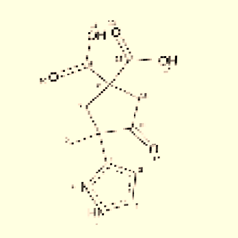 CC1(c2cc[nH]n2)CC(C(=O)O)(C(=O)O)CC1=O